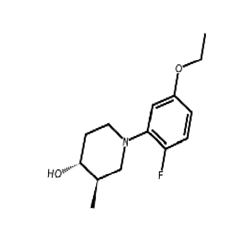 CCOc1ccc(F)c(N2CC[C@@H](O)[C@H](C)C2)c1